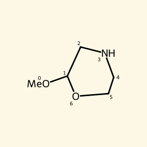 [CH2]OC1CNCCO1